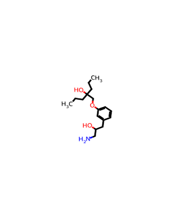 CCCC(O)(CCC)COc1cccc(CC(O)CN)c1